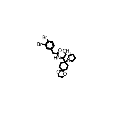 CCC(NC(=O)Cc1ccc(Br)c(Br)c1)C1(N2CCCC2)CCC2(CC1)OCCO2